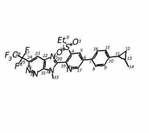 CCS(=O)(=O)c1cc(-c2ccc(C3CC3C)cc2)cnc1-c1nc2cc(C(F)(F)C(F)(F)F)nnc2n1C